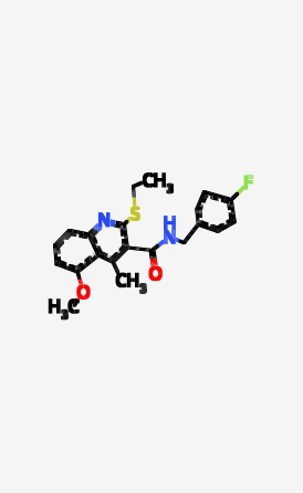 CCSc1nc2cccc(OC)c2c(C)c1C(=O)NCc1ccc(F)cc1